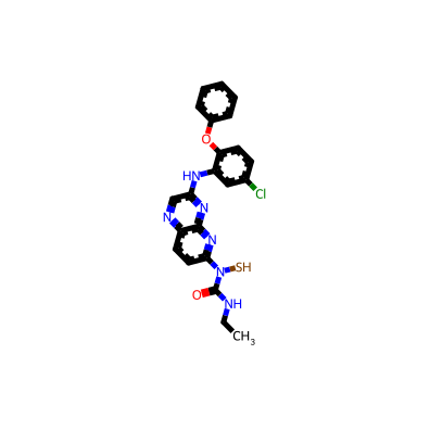 CCNC(=O)N(S)c1ccc2ncc(Nc3cc(Cl)ccc3Oc3ccccc3)nc2n1